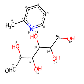 Cc1ccccn1.O=CC(O)C(O)C(O)C(O)CO